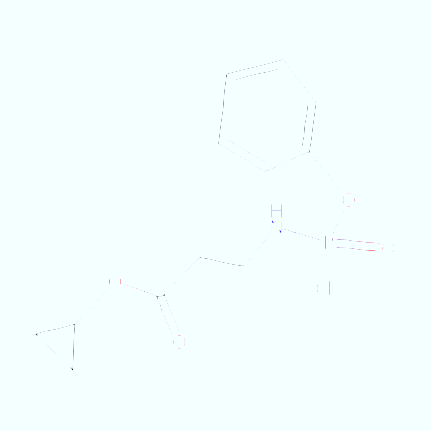 O=C(CCN[P@@](=O)(Cl)Oc1ccccc1)OC1CC1